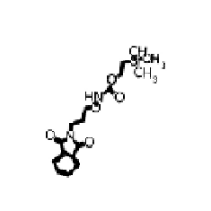 C[Si](C)(C)CCOC(=O)NOCCCN1C(=O)c2ccccc2C1=O